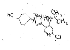 CC(C)Nc1cc(Cl)ncc1-c1cn(C2CCC(CO)CC2)nn1